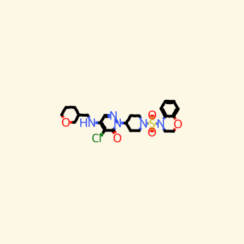 O=c1c(Cl)c(NCC2CCCOC2)cnn1C1CCN(S(=O)(=O)N2CCOc3ccccc32)CC1